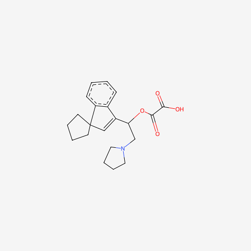 O=C(O)C(=O)OC(CN1CCCC1)C1=CC2(CCCC2)c2ccccc21